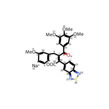 COc1cccc(C/C(C(=O)c2cc(OC)c(OC)c(OC)c2)=C(\C(=O)[O-])c2ccc3nsnc3c2)c1.[Na+]